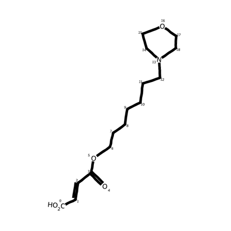 O=C(O)C=CC(=O)OCCCCCCCN1CCOCC1